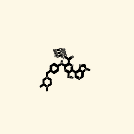 CNc1nc(Nc2ccc(CN3CCN(C)C(C)C3)cc2)c(C(N)=O)nc1-c1cncc2c1ncn2C.O=CO.O=CO.O=CO